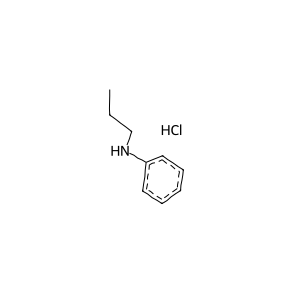 CCCNc1ccccc1.Cl